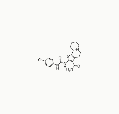 NC(=O)c1c(NC(=O)Nc2ccc(Cl)cc2)sc2c1CCN1CCCCC21